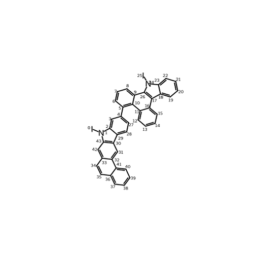 In1c2cc(-c3cccc4c3c3ccccc3c3c5ccccc5n(I)c43)ccc2c2cc3c(ccc4ccccc43)cc21